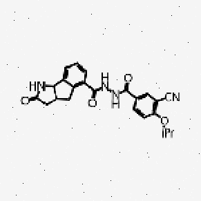 CC(C)Oc1ccc(C(=O)NNC(=O)c2cccc3c2CC2CC(=O)NC32)cc1C#N